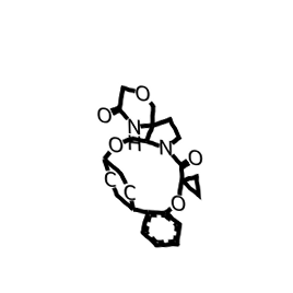 O=C1COCC2(CCN3C(=O)C4(CC4)Oc4ccccc4C4CCC(CC4)OCC32)N1